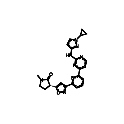 CN1CC[C@@H](c2cc(-c3cccc(-c4ccnc(Nc5ccn(C6CC6)n5)n4)n3)no2)C1=O